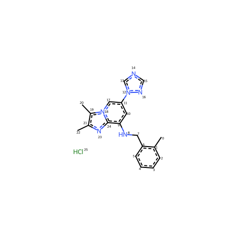 Cc1ccccc1CNc1cc(-n2cncn2)cn2c(C)c(C)nc12.Cl